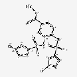 COC(=O)c1ccc(NS(=O)(=O)c2ccc(Cl)s2)c(NS(=O)(=O)c2ccc(Cl)s2)c1